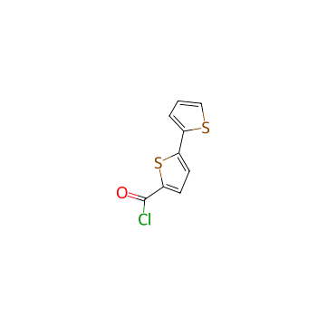 O=C(Cl)c1ccc(-c2cccs2)s1